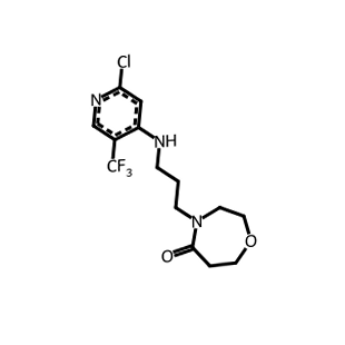 O=C1CCOCCN1CCCNc1cc(Cl)ncc1C(F)(F)F